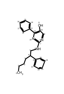 CCCCC(CNc1ncc(O)c(-c2ccccc2)n1)c1ccccc1